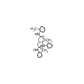 Cc1ccccc1NC(=O)CC(CC(=O)Nc1ccccc1C)C(=O)Nc1ccccc1C